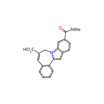 CNC(=O)c1ccc2cc3n(c2c1)CC(C(=O)O)=Cc1ccccc1-3